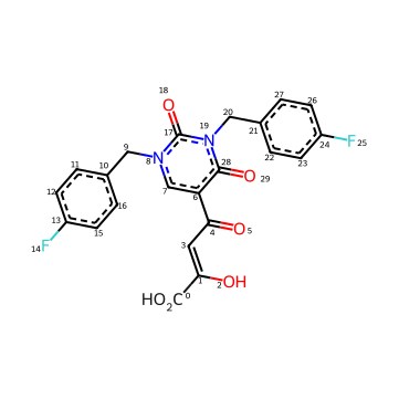 O=C(O)C(O)=CC(=O)c1cn(Cc2ccc(F)cc2)c(=O)n(Cc2ccc(F)cc2)c1=O